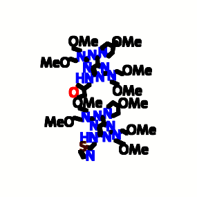 COCCN(CCOC)c1nc(N2CCC(OC)CC2)c2nc(N(CCOC)CCOC)nc(NCC3CCOC3)c2n1.COCCN(CCOC)c1nc(N2CCC(OC)CC2)c2nc(N(CCOC)CCOC)nc(NCc3nccs3)c2n1